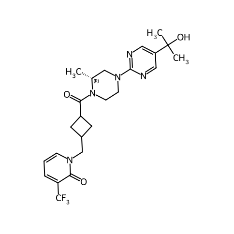 C[C@@H]1CN(c2ncc(C(C)(C)O)cn2)CCN1C(=O)C1CC(Cn2cccc(C(F)(F)F)c2=O)C1